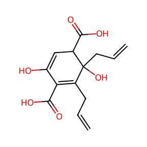 C=CCC1=C(C(=O)O)C(O)=CC(C(=O)O)C1(O)CC=C